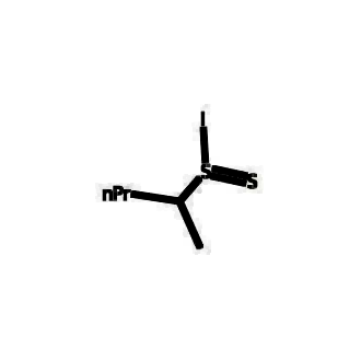 CCCC(C)S(=S)I